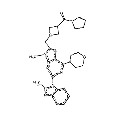 Cc1nc2ccccc2n1-c1nc(N2CCOCC2)c2nc(CN3CC(C(=O)N4CCCC4)C3)n(C)c2n1